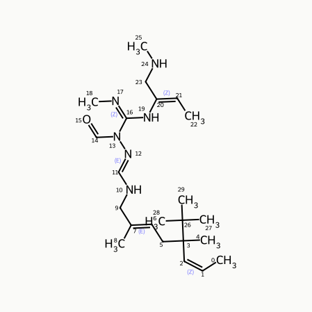 C/C=C\C(C)(C/C=C(\C)CN/C=N/N(C=O)/C(=N\C)N/C(=C\C)CNC)C(C)(C)C